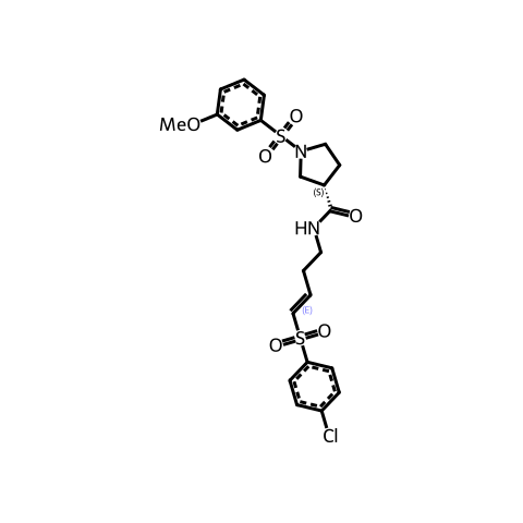 COc1cccc(S(=O)(=O)N2CC[C@H](C(=O)NCC/C=C/S(=O)(=O)c3ccc(Cl)cc3)C2)c1